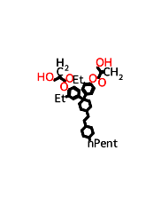 C=C(CO)C(=O)Oc1ccc(C2(c3ccc(OC(=O)C(=C)CO)c(CC)c3)CCC(CCC3CCC(CCCCC)CC3)CC2)cc1CC